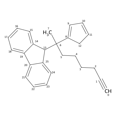 C#CCCCCC(C)(C1=CC=CC1)C1c2ccccc2-c2ccccc21